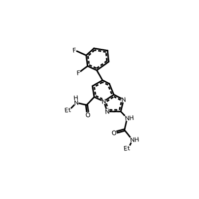 CCNC(=O)Nc1nc2cc(-c3cccc(F)c3F)cc(C(=O)NCC)n2n1